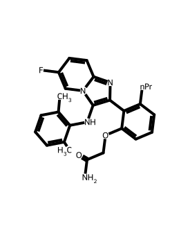 CCCc1cccc(OCC(N)=O)c1-c1nc2ccc(F)cn2c1Nc1c(C)cccc1C